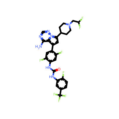 Nc1ncnn2c(C3CCN(CC(F)F)CC3)cc(-c3cc(F)c(NC(=O)Nc4cc(C(F)(F)F)ccc4F)cc3F)c12